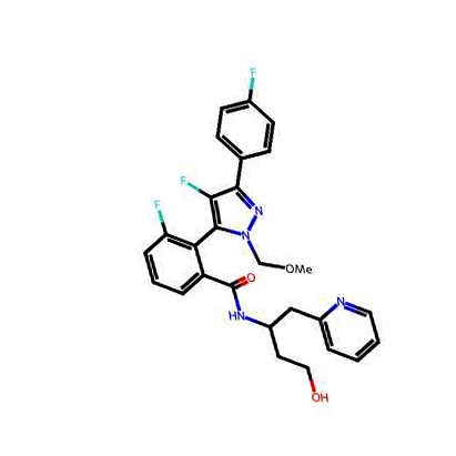 COCn1nc(-c2ccc(F)cc2)c(F)c1-c1c(F)cccc1C(=O)NC(CCO)Cc1ccccn1